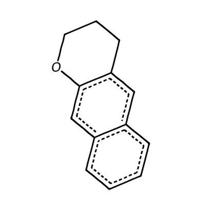 c1ccc2cc3c(cc2c1)CCCO3